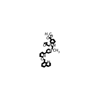 COC(=O)c1ccc2nc([C@H](C)N3CCC(c4cccc(OCc5cccc6cccnc56)n4)CC3)n(CC3CCO3)c2c1